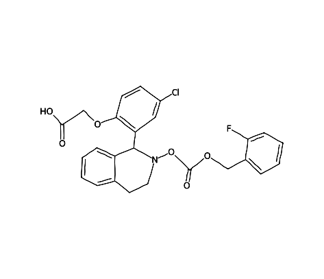 O=C(O)COc1ccc(Cl)cc1C1c2ccccc2CCN1OC(=O)OCc1ccccc1F